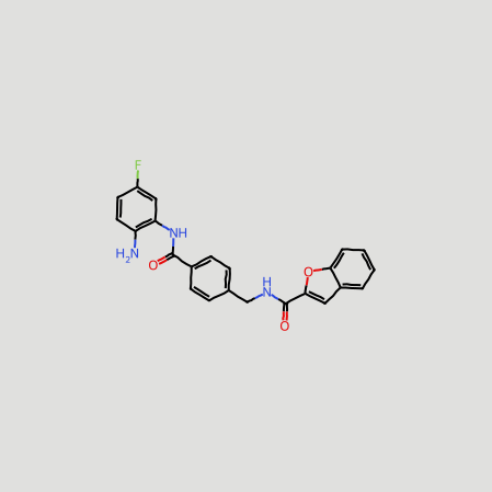 Nc1ccc(F)cc1NC(=O)c1ccc(CNC(=O)c2cc3ccccc3o2)cc1